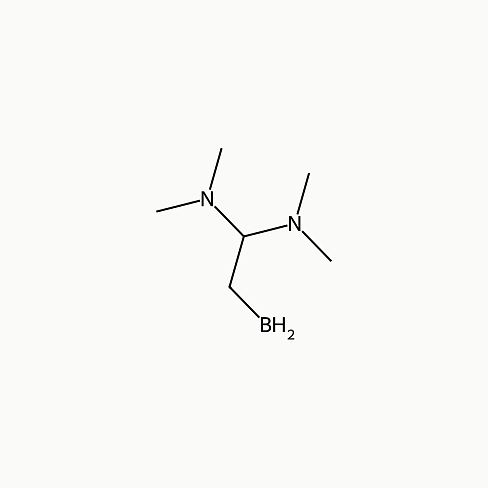 BCC(N(C)C)N(C)C